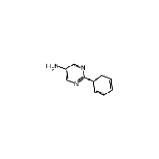 Nc1cnc(C2C=CC=CC2)nc1